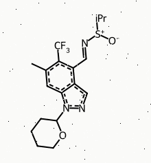 Cc1cc2c(cnn2C2CCCCO2)c(C=N[S+]([O-])C(C)C)c1C(F)(F)F